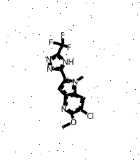 COc1nc2cc(-c3nnc(C(F)(F)F)[nH]3)n(C)c2cc1Cl